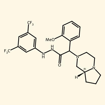 COc1ccccc1C(C(=O)NNc1cc(C(F)(F)F)cc(C(F)(F)F)c1)N1CCN2CCC[C@@H]2C1